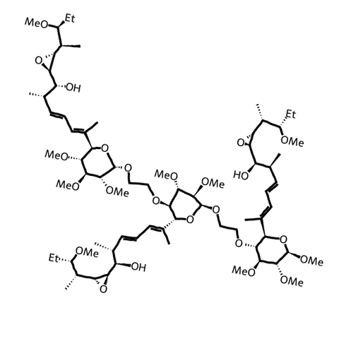 CC[C@H](OC)[C@@H](C)[C@H]1O[C@@H]1[C@H](O)[C@H](C)/C=C/C=C(\C)[C@H]1O[C@H](OCCO[C@H]2[C@H](OC)[C@@H](OC)[C@H](OC)O[C@@H]2/C(C)=C/C=C/[C@H](C)[C@@H](O)[C@H]2O[C@@H]2[C@H](C)[C@H](CC)OC)[C@H](OC)[C@@H](OC)[C@@H]1OCCO[C@H]1O[C@H](/C(C)=C/C=C/[C@H](C)[C@@H](O)[C@H]2O[C@@H]2[C@H](C)[C@H](CC)OC)[C@@H](OC)[C@H](OC)[C@H]1OC